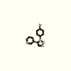 Brc1ccc(-n2nncc2-c2cccnc2)cc1